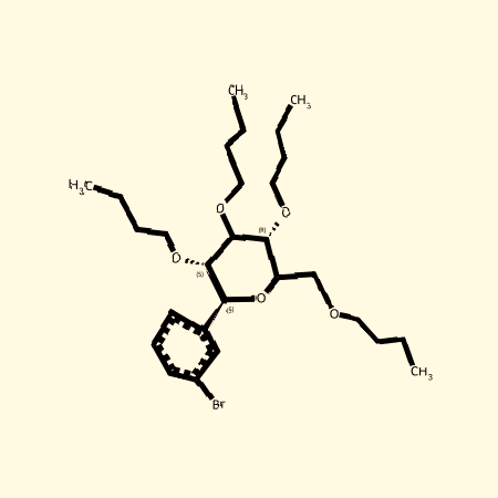 CCCCOCC1O[C@@H](c2cccc(Br)c2)[C@H](OCCCC)C(OCCCC)[C@@H]1OCCCC